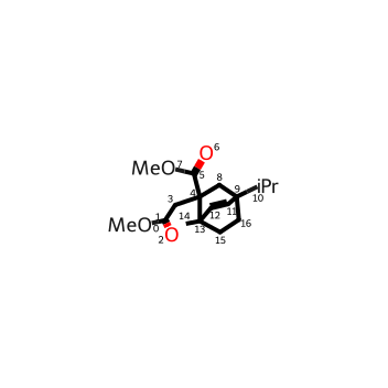 COC(=O)CC1(C(=O)OC)CC2(C(C)C)C=CC1(C)CC2